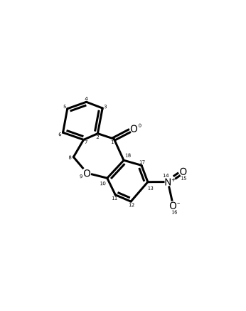 O=C1c2ccccc2COc2ccc([N+](=O)[O-])cc21